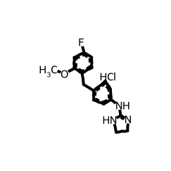 COc1cc(F)ccc1Cc1ccc(NC2=NCCN2)cc1.Cl